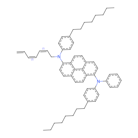 C=C/C=C\C=C/CN(c1ccc(CCCCCCCC)cc1)c1ccc2ccc3c(N(c4ccccc4)c4ccc(CCCCCCCC)cc4)ccc4ccc1c2c43